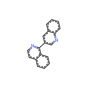 c1ccc2ncc(-c3nccc4ccccc34)cc2c1